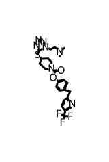 CN(C)CCn1nnnc1SC1CCN(C(=O)Oc2ccc(Cc3ccc(C(F)(F)F)cn3)cc2)CC1